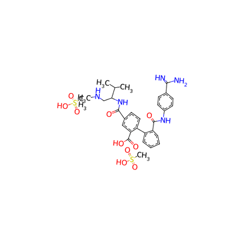 CNCC(NC(=O)c1ccc(-c2ccccc2C(=O)Nc2ccc(C(=N)N)cc2)c(C(=O)O)c1)C(C)C.CS(=O)(=O)O.CS(=O)(=O)O